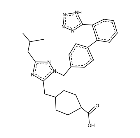 CC(C)Cc1nc(CC2CCC(C(=O)O)CC2)n(Cc2ccc(-c3ccccc3-c3nnn[nH]3)cc2)n1